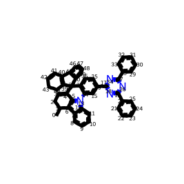 CC1CC=C2c3c1c1ccccc1n3-c1cc(-c3nc(-c4ccccc4)nc(-c4ccccc4)n3)ccc1C21C2=C(C=CCC2)c2ccccc21